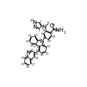 CN(c1cnn(C)c1)c1cc(-n2c3ccccc3c3c(-c4cnc5ccccc5c4)cccc32)ccc1C(N)=O